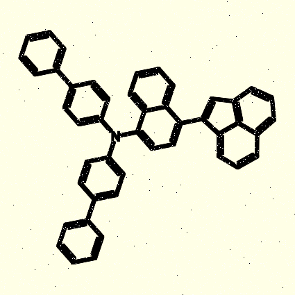 C1=C(c2ccc(N(c3ccc(-c4ccccc4)cc3)c3ccc(-c4ccccc4)cc3)c3ccccc23)c2cccc3cccc1c23